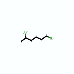 [CH2]C(Br)CCCCBr